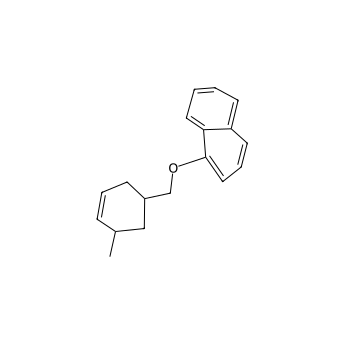 CC1C=CCC(COc2cccc3ccccc23)C1